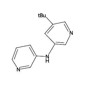 CC(C)(C)c1cncc(Nc2cccnc2)c1